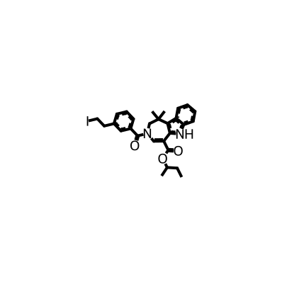 CCC(C)OC(=O)C1=CN(C(=O)c2cccc(CCI)c2)CC(C)(C)c2c1[nH]c1ccccc21